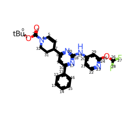 CC(C)(C)OC(=O)N1C=CC(c2cc(-c3ccccc3)nc(Nc3ccnc(OC(F)F)c3)n2)CC1